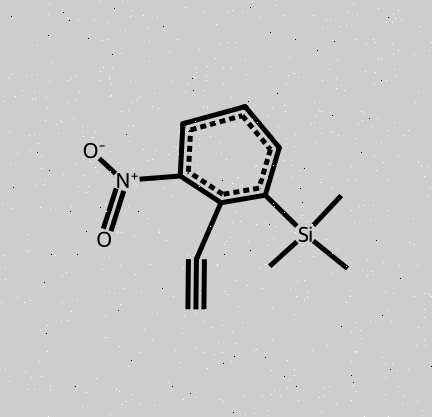 C#Cc1c([N+](=O)[O-])cccc1[Si](C)(C)C